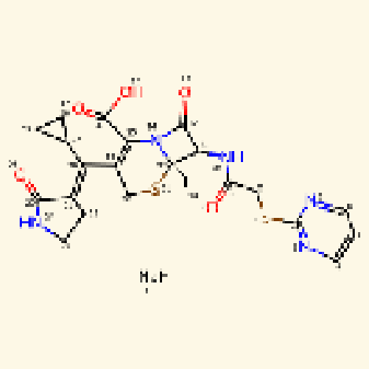 O=C(CSc1ncccn1)N[C@@H]1C(=O)N2C(C(=O)O)=C(C(=C3CCNC3=O)C3CC3)CS[C@H]12.[NaH]